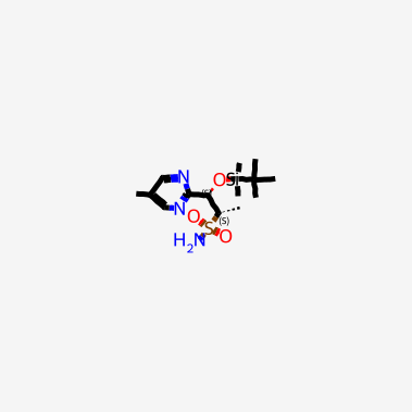 Cc1cnc([C@H](O[Si](C)(C)C(C)(C)C)[C@H](C)S(N)(=O)=O)nc1